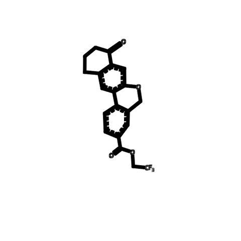 O=C(OCC(F)(F)F)c1ccc2c(c1)COc1cc3c(cc1-2)CCCC3=O